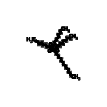 CCCCCCCCCCCCCCCC[Si](C(=O)CCCCCCCCC)(C(=O)CCCCCCCCC)C(=O)CCCCCCCCC